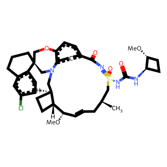 CO[C@H]1/C=C/C[C@H](C)C[S@@](=O)(NC(=O)N[C@@H]2CC[C@H]2OC)=NC(=O)c2ccc3c(c2)N(C[C@@H]2CC[C@H]21)C[C@@]1(CCCc2cc(Cl)ccc21)CO3